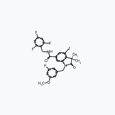 COc1cc(F)cc(CN2C(=O)C(C)(C)c3c(I)cc(C(=O)NCc4c(F)cc(F)cc4F)cc32)c1